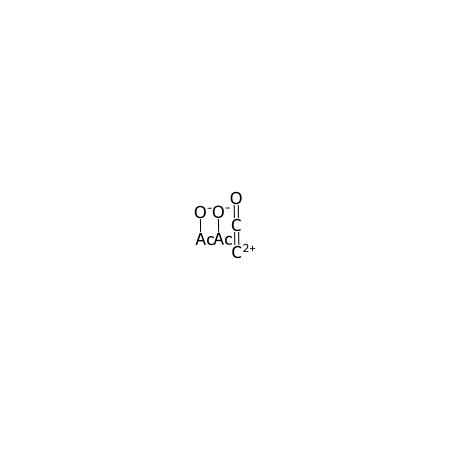 CC(=O)[O-].CC(=O)[O-].[C+2]=C=O